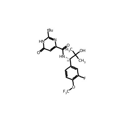 CC(C)(C)c1nc(C(=O)N[C@@H](c2ccc(OC(F)(F)F)c(F)c2)C(C)(C)O)cc(=O)[nH]1